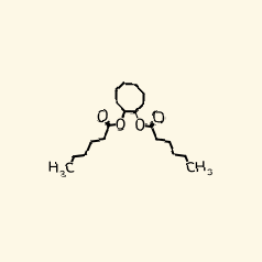 CCCCCC(=O)OC1CCCCCCC1OC(=O)CCCCC